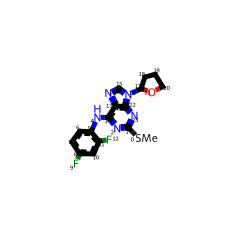 CSc1nc(Nc2ccc(F)cc2F)c2ncn(C3CCCO3)c2n1